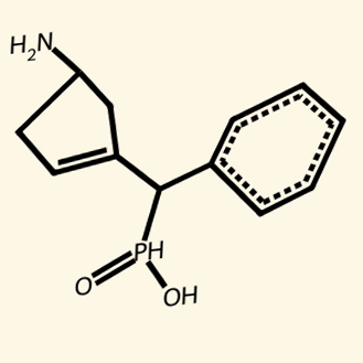 NC1CC=C(C(c2ccccc2)[PH](=O)O)C1